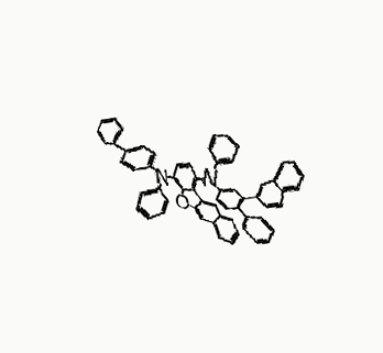 c1ccc(-c2ccc(N(c3ccccc3)c3ccc(N(c4ccccc4)c4ccc(-c5ccccc5)c(-c5ccc6ccccc6c5)c4)c4c3oc3cc5ccccc5cc34)cc2)cc1